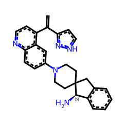 C=C(c1cc[nH]n1)c1ccnc2ccc(N3CCC4(CC3)Cc3ccccc3[C@H]4N)cc12